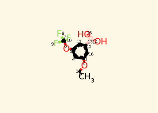 CCOc1cc(OC(F)(F)F)cc(B(O)O)c1